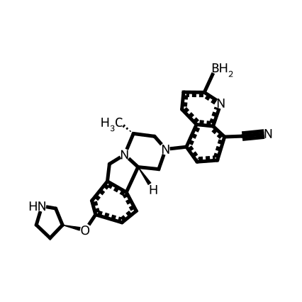 Bc1ccc2c(N3C[C@@H](C)N4Cc5cc(O[C@H]6CCNC6)ccc5[C@H]4C3)ccc(C#N)c2n1